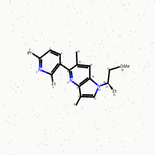 CCc1nc(C(C)C)ccc1-c1nc2c(C)cn([C@H](CC)COC)c2cc1C